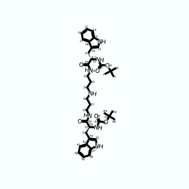 CC(C)(C)OC(=O)N[C@@H](Cc1c[nH]c2ccccc12)C(=O)NCCCNCCCNC(=O)[C@H](Cc1c[nH]c2ccccc12)NC(=O)OC(C)(C)C